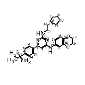 CC(C)(C)c1ccc(-c2cc(Nc3ccc4c(c3)OCCO4)nc(NCCN3CCCC3)n2)cc1